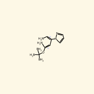 BC(B)(B)O/C(N)=C/C(=C\N)n1cccn1